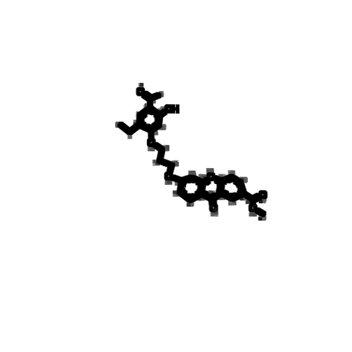 CCc1cc(C(C)=O)c(O)cc1OCCCOc1ccc2c(=O)c3cc(C(=O)OC)ccc3oc2c1